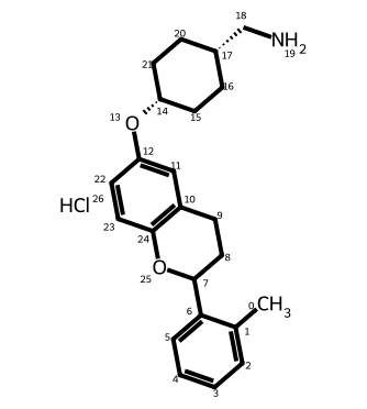 Cc1ccccc1C1CCc2cc(O[C@H]3CC[C@@H](CN)CC3)ccc2O1.Cl